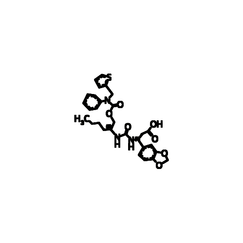 CCCC[C@@H](COC(=O)N(Cc1cccs1)c1ccccc1)NC(=O)N[C@@H](CC(=O)O)c1ccc2c(c1)OCO2